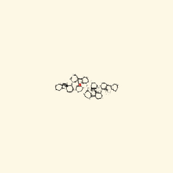 c1ccc([Si](c2ccccc2)(c2cccc3c2oc2c(-c4cccc5c4oc4ccccc45)cccc23)c2cccc3c2sc2c(-c4cccc5c4oc4ccccc45)cccc23)cc1